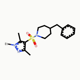 CCn1nc(C)c(S(=O)(=O)N2CCC(Cc3ccccc3)CC2)c1C